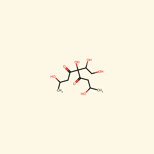 CC(O)CC(=O)C(O)(C(=O)CC(C)O)C(O)CO